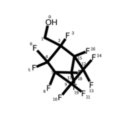 OCC1(F)C(F)(F)C2(F)C(F)(F)C(F)(F)C1(F)C2(F)F